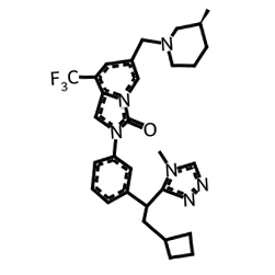 C[C@H]1CCCN(Cc2cc(C(F)(F)F)c3cn(-c4cccc(C(CC5CCC5)c5nncn5C)c4)c(=O)n3c2)C1